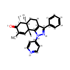 C[C@H]1C(=O)C(C#N)=C[C@@]2(C)c3c(c(-c4ccccc4)nn3-c3ccncc3)CC[C@H]12